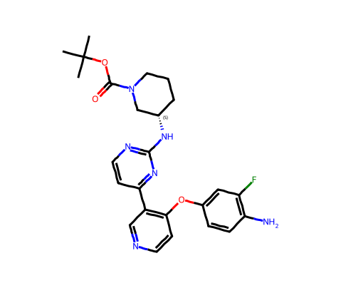 CC(C)(C)OC(=O)N1CCC[C@H](Nc2nccc(-c3cnccc3Oc3ccc(N)c(F)c3)n2)C1